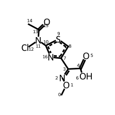 CO/N=C(\C(=O)O)c1csc(N(Cl)C(C)=O)n1